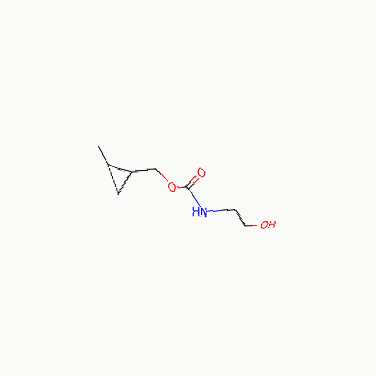 CC1CC1COC(=O)NCCO